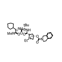 CCN1C[C@@H](OC(=O)N2CCc3ccccc3C2)C[C@H]1C(=O)N[C@H](C(=O)N[C@H](C(=O)NC)C1CCCCC1)C(C)(C)C